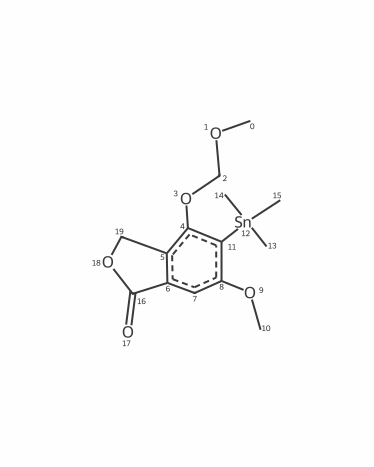 COCOc1c2c(cc(OC)[c]1[Sn]([CH3])([CH3])[CH3])C(=O)OC2